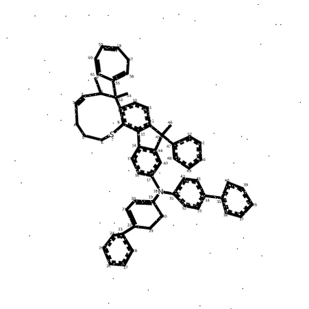 CC1/C=C\CCCSc2c(ccc3c2-c2ccc(N(C4=CC=C(c5ccccc5)CC4)c4ccc(-c5ccccc5)cc4)cc2C3(C)c2ccccc2)C1(C)C1=CCC=CC=C1